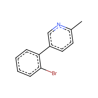 Cc1ccc(-c2ccccc2Br)cn1